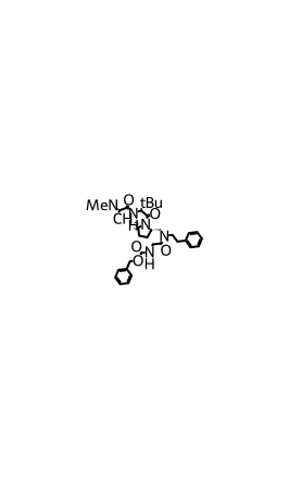 CN[C@@H](C)C(=O)N[C@H](C(=O)N1CCC[C@H]1CN(CCc1ccccc1)C(=O)CNC(=O)OCc1ccccc1)C(C)(C)C